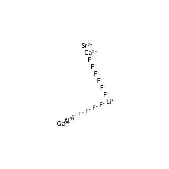 [Al+3].[Ca+2].[F-].[F-].[F-].[F-].[F-].[F-].[F-].[F-].[F-].[F-].[F-].[Ga+3].[Li+].[Sr+2]